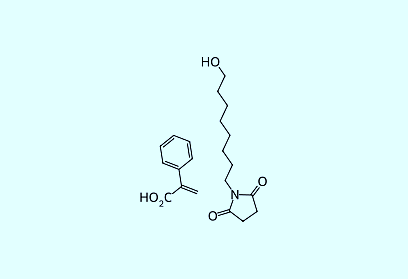 C=C(C(=O)O)c1ccccc1.O=C1CCC(=O)N1CCCCCCCCO